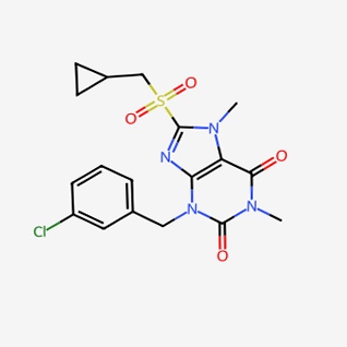 Cn1c(=O)c2c(nc(S(=O)(=O)CC3CC3)n2C)n(Cc2cccc(Cl)c2)c1=O